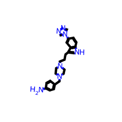 Nc1ccc(CN2CCN(CCCc3c[nH]c4ccc(-n5cnnc5)cc34)CC2)cc1